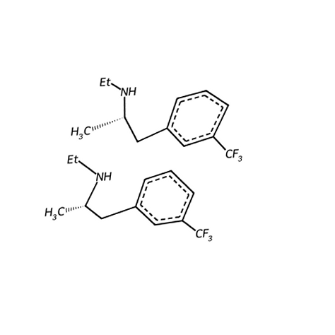 CCN[C@@H](C)Cc1cccc(C(F)(F)F)c1.CCN[C@@H](C)Cc1cccc(C(F)(F)F)c1